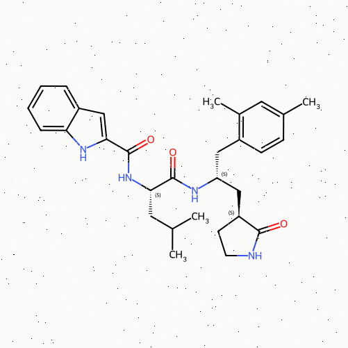 Cc1ccc(C[C@H](C[C@@H]2CCNC2=O)NC(=O)[C@H](CC(C)C)NC(=O)c2cc3ccccc3[nH]2)c(C)c1